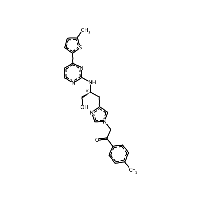 Cc1ccc(-c2ccnc(N[C@H](CO)Cc3cn(CC(=O)c4ccc(C(F)(F)F)cc4)cn3)n2)s1